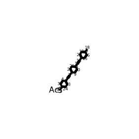 CC(=O)Sc1ccc(C#Cc2ccc(C#Cc3ccc(C)cc3)cc2)cc1